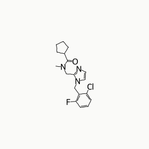 CN(Cc1nccn1Cc1c(F)cccc1Cl)C(=O)C1CCCC1